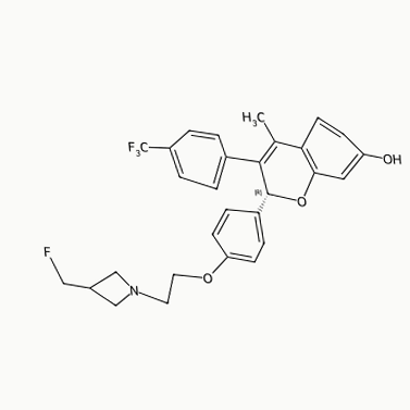 CC1=C(c2ccc(C(F)(F)F)cc2)[C@@H](c2ccc(OCCN3CC(CF)C3)cc2)Oc2cc(O)ccc21